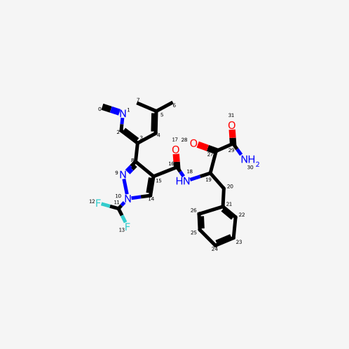 C=N/C=C(\C=C(C)C)c1nn(C(F)F)cc1C(=O)NC(Cc1ccccc1)C(=O)C(N)=O